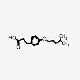 CC(C)CCCOc1ccc(CCC(=O)O)cc1